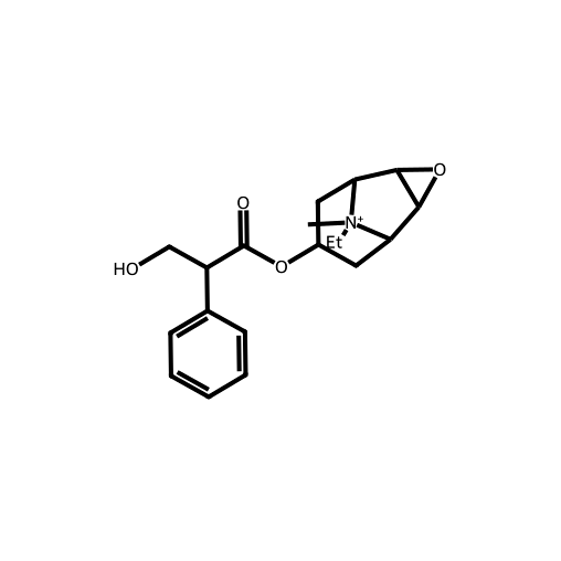 CC[N+]1(C)C2CC(OC(=O)C(CO)c3ccccc3)CC1C1OC12